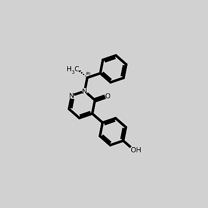 C[C@H](c1ccccc1)n1nccc(-c2ccc(O)cc2)c1=O